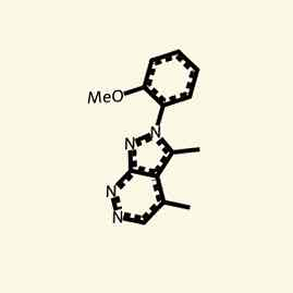 COc1ccccc1-n1nc2nncc(C)c2c1C